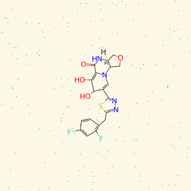 O=C1N[C@H]2COCC2N2C=C(c3nnc(Cc4ccc(F)cc4F)s3)C(O)C(O)=C12